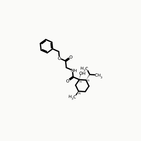 CC(C)[C@@H]1CC[C@@H](C)C[C@@]1(O)C(=O)NCC(=O)OCc1ccccc1